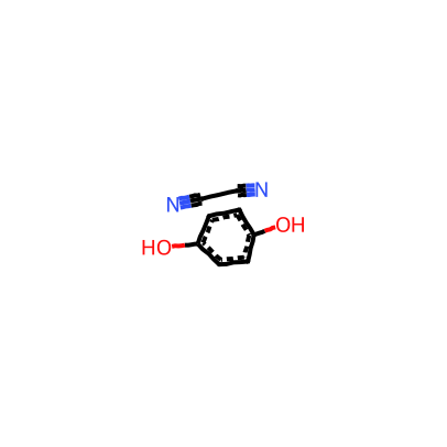 N#CC#N.Oc1ccc(O)cc1